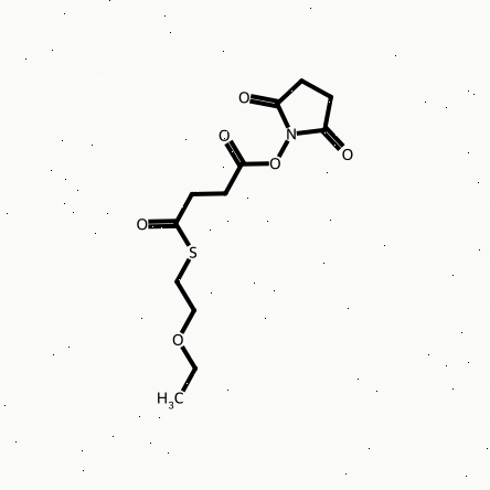 CCOCCSC(=O)CCC(=O)ON1C(=O)CCC1=O